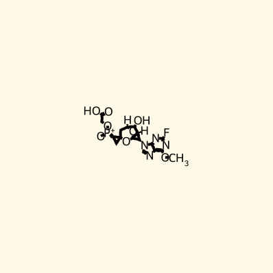 COc1nc(F)nc2c1ncn2[C@H]1[C@H]2C(O)[C@H]3CC4(C/C4=[P+](\[O-])OCC(=O)O)OC21O3